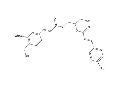 COc1cc(/C=C/C(=O)OCC(CO)OC(=O)/C=C/c2ccc(C)cc2)ccc1CO